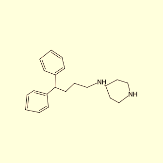 c1ccc(C(CCCNC2CCNCC2)c2ccccc2)cc1